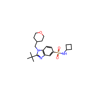 CC(C)(C)c1nc2cc(S(=O)(=O)NC3CCC3)ccc2n1CC1CCOCC1